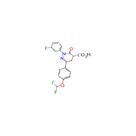 O=C(O)C1CC(c2ccc(OC(F)F)cc2)=NN(c2cccc(F)c2)C1=O